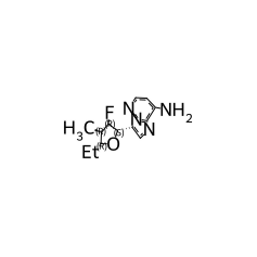 CC[C@H]1O[C@@H](c2cnc3c(N)ccnn23)[C@H](F)[C@@H]1C